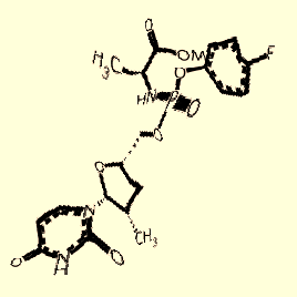 COC(=O)[C@H](C)NP(=O)(OC[C@@H]1C[C@H](C)[C@H](n2ccc(=O)[nH]c2=O)O1)Oc1ccc(F)cc1